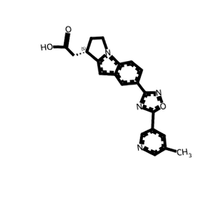 Cc1cncc(-c2nc(-c3ccc4c(c3)cc3n4CC[C@H]3CC(=O)O)no2)c1